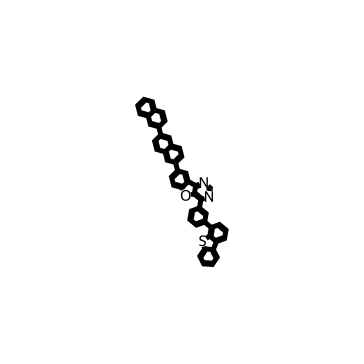 c1cc(-c2ncnc3c2oc2ccc(-c4ccc5cc(-c6ccc7ccccc7c6)ccc5c4)cc23)cc(-c2cccc3c2sc2ccccc23)c1